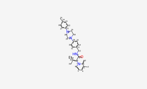 C=C1C(C)=CC=CN1/C(C(=O)NCc1ccc(N2CCN(c3ccc(C)cc3)CC2)cc1)=C(\C)CC